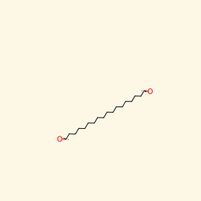 O=[C]CCCCCCCCCCCCCCCC[C]=O